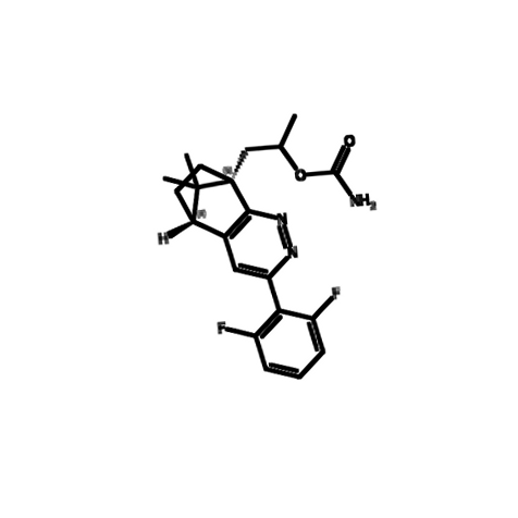 CC(C[C@]12CC[C@@H](c3cc(-c4c(F)cccc4F)nnc31)C2(C)C)OC(N)=O